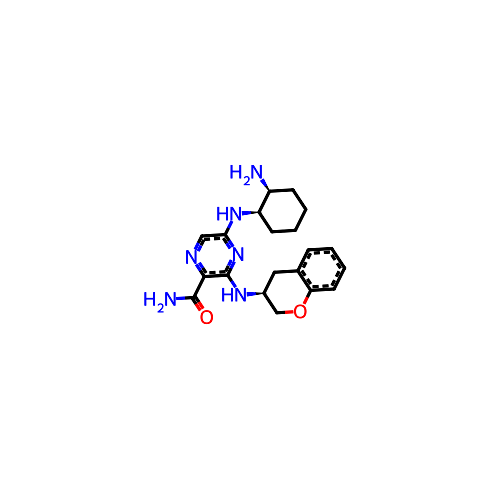 NC(=O)c1ncc(N[C@@H]2CCCC[C@@H]2N)nc1N[C@@H]1COc2ccccc2C1